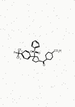 O=C(O)C1CCC(C(=O)N2CCC(c3ccc(C(F)(C(F)(F)F)C(F)(F)F)cc3)(S(=O)(=O)c3ccccc3)C2)CC1